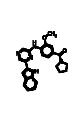 COc1cc(C(=O)N2CCCC2)ccc1Nc1cncc(-c2cc3ccccc3[nH]2)n1